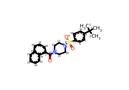 CC(C)(C)c1ccc(S(=O)(=O)N2CCN(C(=O)c3cccc4ccccc34)CC2)cc1